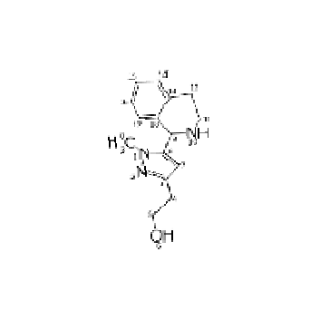 Cn1nc(CCO)cc1C1NCCc2ccccc21